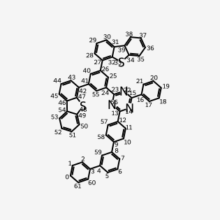 c1ccc(-c2cccc(-c3ccc(-c4nc(-c5ccccc5)nc(-c5cc(-c6cccc7c6sc6ccccc67)cc(-c6cccc7c6sc6ccccc67)c5)n4)cc3)c2)cc1